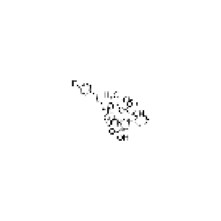 CCC(=O)OC(OP(=O)(CCCCc1ccc(F)cc1)CC(=O)N1C[C@H](C2CCCCC2)C[C@H]1C(=O)O)C(C)C